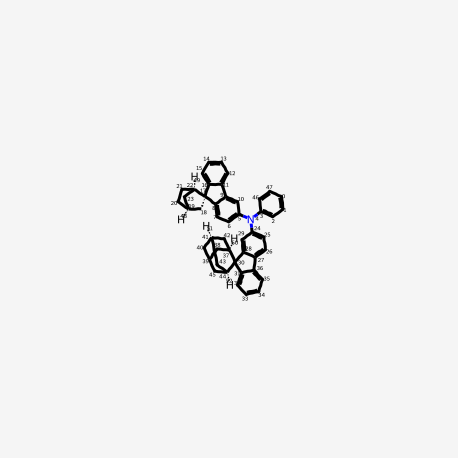 c1ccc(N(c2ccc3c(c2)-c2ccccc2[C@@]32C[C@H]3CC[C@@H]2C3)c2ccc3c(c2)C2(c4ccccc4-3)[C@H]3CC4C[C@@H](C3)C[C@@H]2C4)cc1